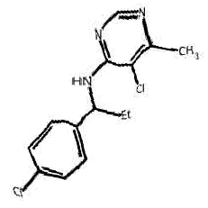 CCC(Nc1ncnc(C)c1Cl)c1ccc(Cl)cc1